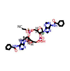 CC(C)(C)[Si](C)(C)O[C@H]1[C@H]2OP(=S)(OCCC#N)OC[C@H]3OCC(F)(n4cnc5c(NC(=O)c6ccccc6)ncnc54)[C@@H]3OP(=O)(O)OC[C@H]1O[C@H]2n1cnc2c(NC(=O)c3ccccc3)ncnc21